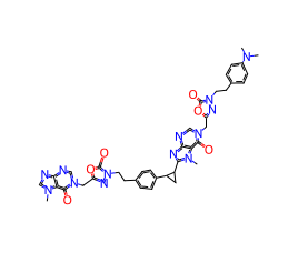 CN(C)c1ccc(CCn2nc(Cn3cnc4nc(C5CC5c5ccc(CCn6nc(Cn7cnc8ncn(C)c8c7=O)oc6=O)cc5)n(C)c4c3=O)oc2=O)cc1